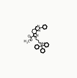 COC(=O)c1c2c(nn1CCCNC(c1ccccc1)(c1ccccc1)c1ccccc1)-c1nc(-c3ccccc3)ncc1CC2